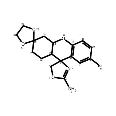 NC1=NC2(CO1)c1cc(Br)ccc1OC1CC3(CCC12)OCCO3